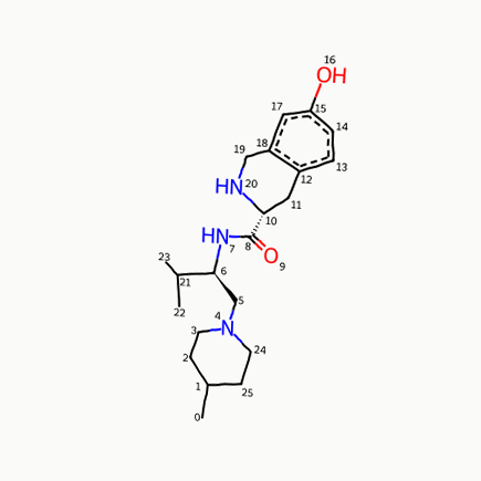 CC1CCN(C[C@H](NC(=O)[C@H]2Cc3ccc(O)cc3CN2)C(C)C)CC1